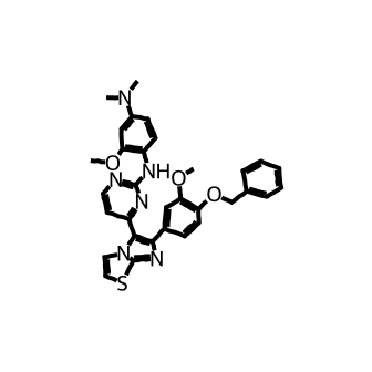 COc1cc(N(C)C)ccc1Nc1nccc(-c2c(-c3ccc(OCc4ccccc4)c(OC)c3)nc3sccn23)n1